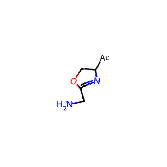 CC(=O)C1COC(CN)=N1